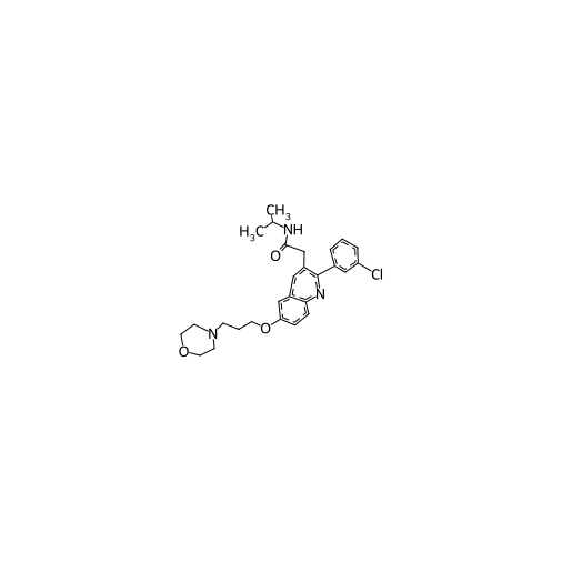 CC(C)NC(=O)Cc1cc2cc(OCCCN3CCOCC3)ccc2nc1-c1cccc(Cl)c1